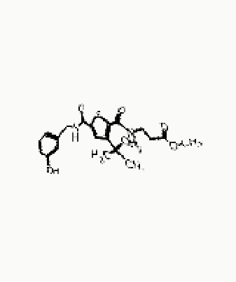 COC(=O)CCNC(=O)c1sc(C(=O)NCc2cccc(O)c2)cc1C(C)(C)C